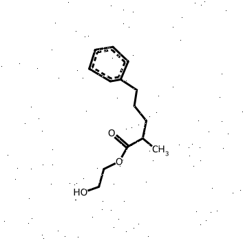 CC(CCCc1ccccc1)C(=O)OCCO